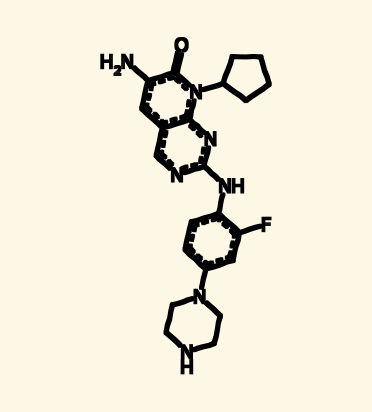 Nc1cc2cnc(Nc3ccc(N4CCNCC4)cc3F)nc2n(C2CCCC2)c1=O